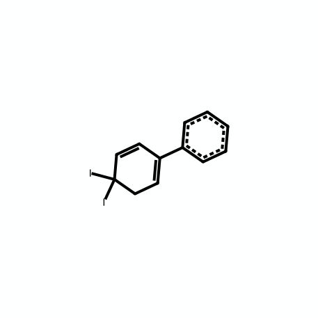 IC1(I)C=CC(c2ccccc2)=CC1